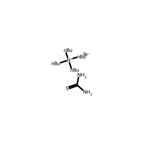 CCCC[N+](CCCC)(CCCC)CCCC.NC(N)=S.[Br-]